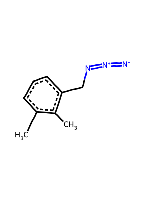 Cc1cccc(CN=[N+]=[N-])c1C